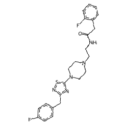 O=C(Cc1ccccc1F)NCCN1CCN(c2nc(Cc3ccc(F)cc3)ns2)CC1